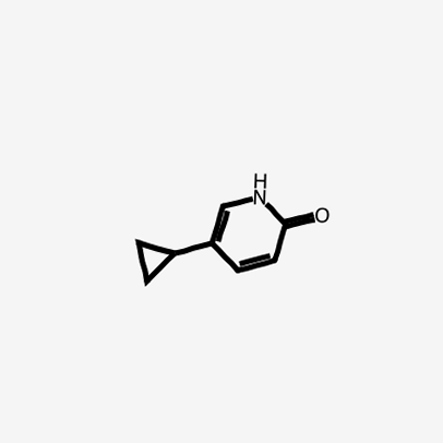 O=c1ccc(C2CC2)c[nH]1